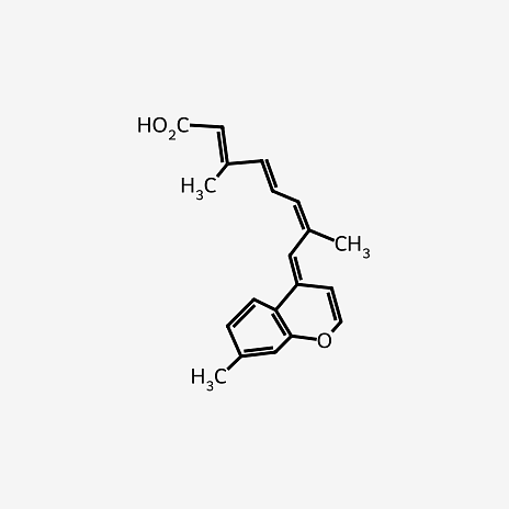 CC(=C/C=C/C(C)=C/C(=O)O)/C=C1\C=COc2cc(C)ccc21